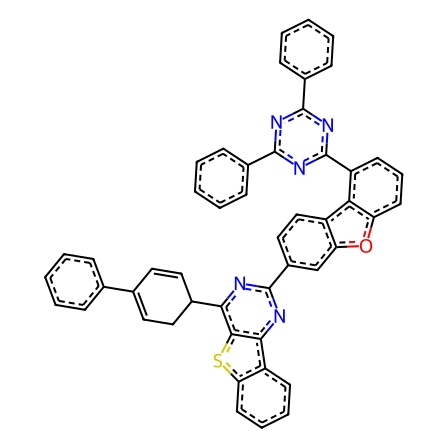 C1=CC(c2nc(-c3ccc4c(c3)oc3cccc(-c5nc(-c6ccccc6)nc(-c6ccccc6)n5)c34)nc3c2sc2ccccc23)CC=C1c1ccccc1